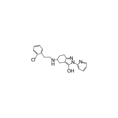 Oc1c2c(nn1-c1ccccn1)CCC(NCCc1ccccc1Cl)C2